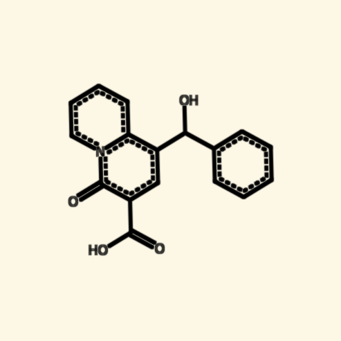 O=C(O)c1cc(C(O)c2ccccc2)c2ccccn2c1=O